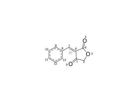 O=C1COC(=O)/C1=C/c1ccccc1